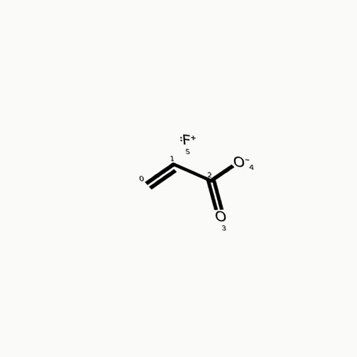 C=CC(=O)[O-].[F+]